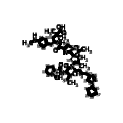 CC[C@H](C)[C@H](NC(=O)[C@H]1CCCCN1C)C(=O)N(CCCCc1cn(-c2ccccc2)nn1)[C@H](C[C@@H](OC(C)=O)c1nc(C(=O)N[C@@H](Cc2ccc(NC)cc2)CC(C)(C)C(=O)O)cs1)C(C)C